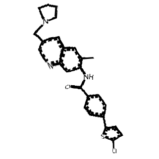 Cc1cc2cc(CN3CCCC3)cnc2cc1NC(=O)c1ccc(-c2ccc(Cl)s2)cc1